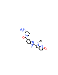 COc1ccc2cc(-c3nc4cc(C(=O)N5CCC[C@@H](N)C5)ccc4n3C)n(CC3CC3)c2n1